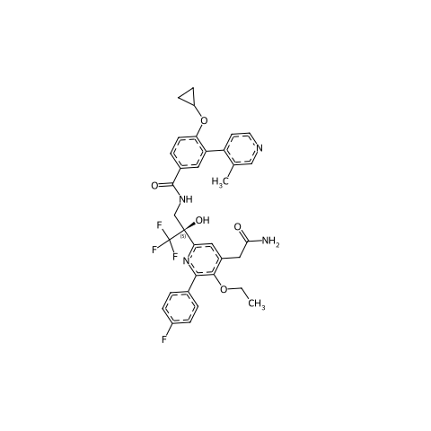 CCOc1c(CC(N)=O)cc([C@@](O)(CNC(=O)c2ccc(OC3CC3)c(-c3ccncc3C)c2)C(F)(F)F)nc1-c1ccc(F)cc1